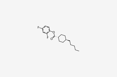 CCCCC[C@H]1CC[C@H](C(=O)Oc2ccc(F)cc2F)CC1